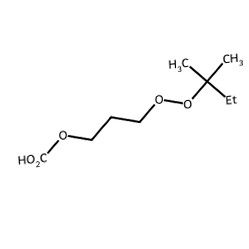 CCC(C)(C)OOCCCOC(=O)O